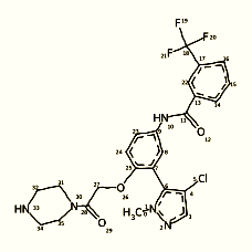 Cn1ncc(Cl)c1-c1cc(NC(=O)c2cccc(C(F)(F)F)c2)ccc1OCC(=O)N1CCNCC1